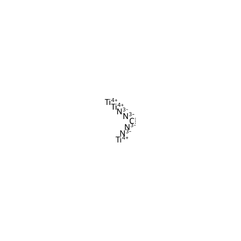 [C].[N-3].[N-3].[N-3].[N-3].[Ti+4].[Ti+4].[Ti+4]